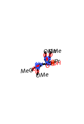 COCCOCCn1cc(CN(CCCCC(C(=O)N2CCC(OP(=O)(O)C(C)C)CC2)N(Cc2cn(CCOCCOC)nn2)Cc2cn(CCOCCOC)nn2)Cc2cn(CCOCCOC)nn2)nn1